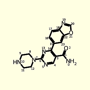 NC(=O)c1cnc(N2CCNCC2)nc1-c1ccc2ncoc2c1